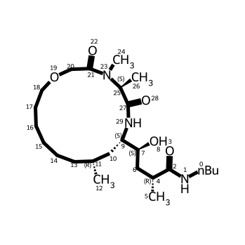 CCCCNC(=O)[C@H](C)C[C@H](O)[C@@H]1C[C@H](C)CCCCCCOCC(=O)N(C)[C@@H](C)C(=O)N1